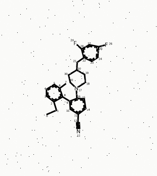 CCc1cccc(C)c1-c1cc(C#N)ccc1N1CCC(Cc2ccc(F)cc2F)CC1